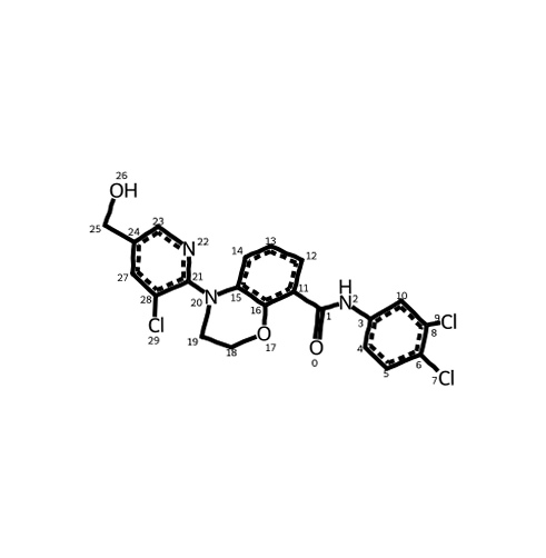 O=C(Nc1ccc(Cl)c(Cl)c1)c1cccc2c1OCCN2c1ncc(CO)cc1Cl